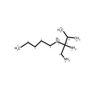 CCCCC[SiH2]C(N)(CN)C(C)C